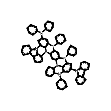 c1ccc(N(c2ccccc2)c2cc3c4c(c2)-n2c5ccccc5c5cccc(c52)B4c2cc4c(cc2N3c2ccccc2)N(c2ccccc2)c2cc(-n3c5ccccc5c5ccccc53)cc3c2B4c2ccccc2N3c2ccccc2)cc1